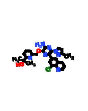 Cc1ccn(-c2nc(N)c(OCc3cccc(C(C)(C)O)n3)nc2-c2cc(Cl)c3ncccc3c2)n1